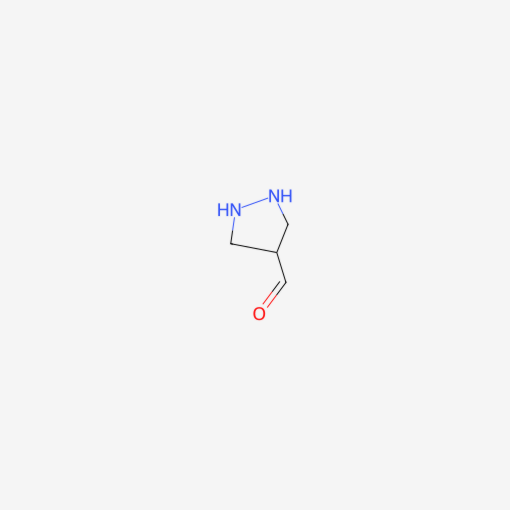 O=CC1CNNC1